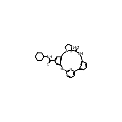 O=C(NC1CCCCC1)c1cc2cc(c1)Nc1nccc(n1)-c1cccc(c1)CNC(=O)[C@@H]1CCCN1C2